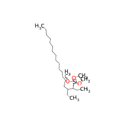 CCCCCCCCCCCCCCCC(CC)C(CC)[Si](OC)(OC)OC